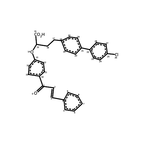 O=C(/C=C/c1ccccc1)c1ccc(OC(CCc2ccc(-c3ccc(Cl)cc3)cc2)C(=O)O)cc1